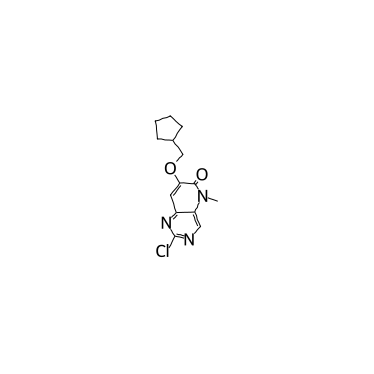 Cn1c(=O)c(OCC2CCCC2)cc2nc(Cl)ncc21